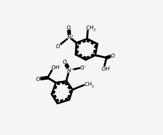 Cc1cc(C(=O)O)ccc1[N+](=O)[O-].Cc1cccc(C(=O)O)c1[N+](=O)[O-]